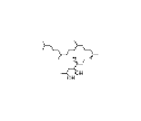 CC(=CCCC(=O)C(O)CC(C)O)CCCC(C)CCCC(C)CCCC(C)C